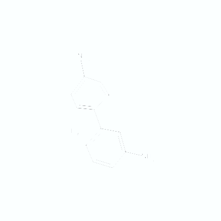 C.Nc1ccc(-c2cccc(N)c2)cc1